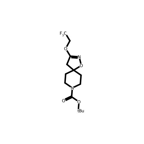 CC(C)(C)OC(=O)N1CCC2(CC1)CC(OCC(F)(F)F)=NO2